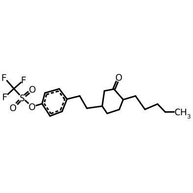 CCCCCC1CCC(CCc2ccc(OS(=O)(=O)C(F)(F)F)cc2)CC1=O